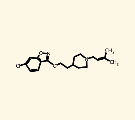 CC(C)=CCN1CCC(CCOc2noc3cc(Cl)ccc23)CC1